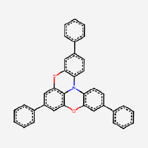 c1ccc(-c2ccc3c(c2)Oc2cc(-c4ccccc4)cc4c2N3c2ccc(-c3ccccc3)cc2O4)cc1